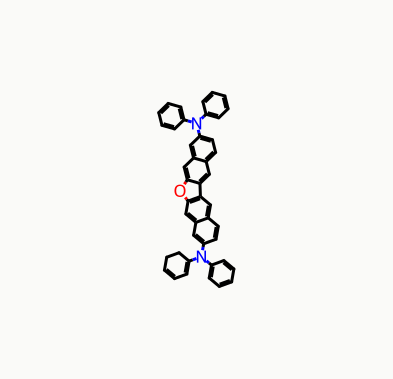 C1=CCCC(N(c2ccccc2)c2ccc3cc4c(cc3c2)oc2cc3cc(N(c5ccccc5)c5ccccc5)ccc3cc24)=C1